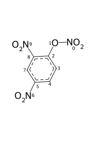 O=[N+]([O-])Oc1ccc([N+](=O)[O-])cc1[N+](=O)[O-]